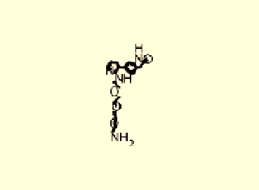 NCCOCCOCCOCCNc1ncccc1-c1ccc2c(c1)NC(=O)C2